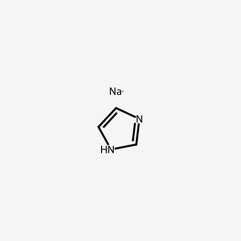 [Na].c1c[nH]cn1